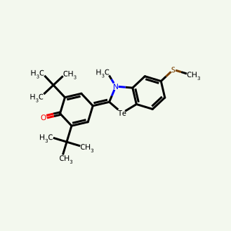 CSc1ccc2c(c1)N(C)C(=C1C=C(C(C)(C)C)C(=O)C(C(C)(C)C)=C1)[Te]2